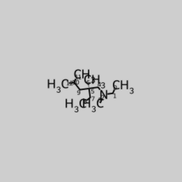 CCN(C)C[C@@](C)(CC)CC(C)C